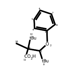 CC(C)(C)C(Oc1ccccc1)C(C)(C(=O)O)C(C)(C)C